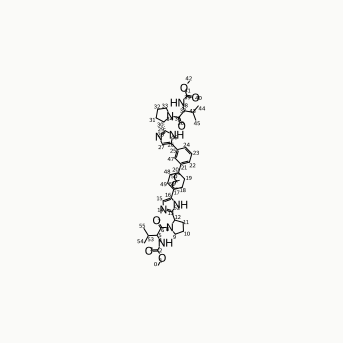 COC(=O)NC(C(=O)N1CCCC1c1ncc(C23CCC(c4cccc(-c5cnc([C@@H]6CCCN6C(=O)[C@@H](NC(=O)OC)C(C)C)[nH]5)c4)(CC2)CC3)[nH]1)C(C)C